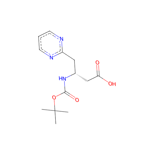 CC(C)(C)OC(=O)N[C@@H](CC(=O)O)Cc1ncccn1